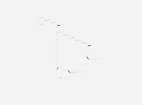 CCCCCC(=CCOC(=O)CCCCCCCCCC(CCCCCCCCCC(=O)OCC=C(CCCCC)CCCCC)OC(=O)CCCN1CCCCC1)CCCCC